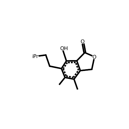 Cc1c(C)c2c(c(O)c1CCC(C)C)C(=O)OC2